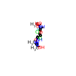 COC(=O)[C@@H](CO)NCc1c(C2CC2)cc(O[C@@H]2CCc3c(-c4cccc(NC(=O)c5nc6c(n5C)CCN([C@H](C)CO)C6)c4Cl)cccc32)c(Cl)c1F